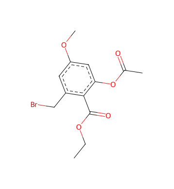 CCOC(=O)c1c(CBr)cc(OC)cc1OC(C)=O